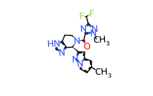 Cc1ccn2nc([C@H]3c4nc[nH]c4CCN3C(=O)c3nc(C(F)F)nn3C)cc2c1